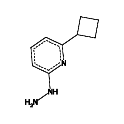 NNc1cccc(C2CCC2)n1